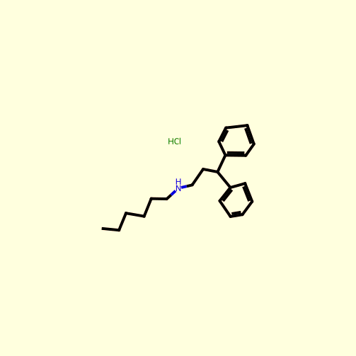 CCCCCCNCCC(c1ccccc1)c1ccccc1.Cl